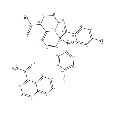 NC(=O)c1cccc2ccccc12.O=C(O)C1CCCC2C1=CC=CC2(C(=O)c1ccc(Cl)cc1)C(=O)c1ccc(Cl)cc1